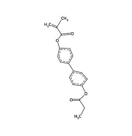 C=C(C)C(=O)Oc1ccc(-c2ccc(OC(=O)CC)cc2)cc1